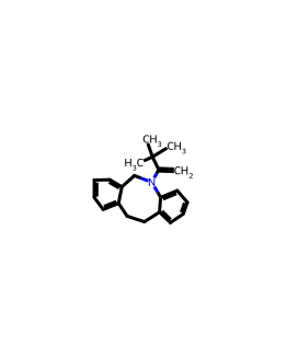 C=C(N1Cc2ccccc2CCc2ccccc21)C(C)(C)C